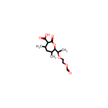 CC1CC(C)C(C(C)OCCOC=O)OC(=O)C1C(=O)O